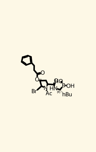 CCCC[C@H](NC(=O)C1C[C@@H](OC(=O)CCc2ccccc2)C(Br)N1C(C)=O)B(O)O